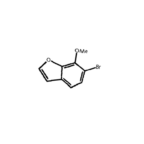 COc1c(Br)ccc2ccoc12